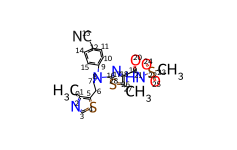 Cc1ncsc1CCN(c1ccc(C#N)cc1)c1nc(C(=O)NS(C)(=O)=O)c(C)s1